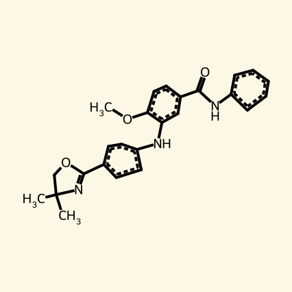 COc1ccc(C(=O)Nc2ccccc2)cc1Nc1ccc(C2=NC(C)(C)CO2)cc1